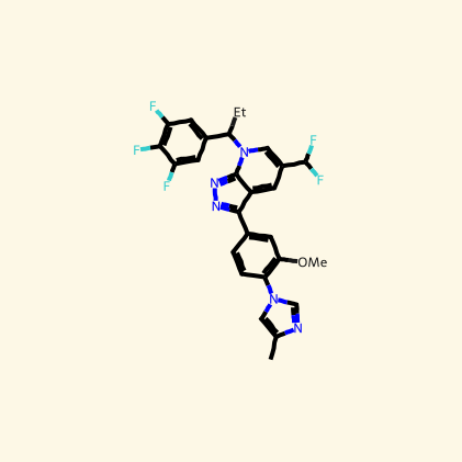 CCC(c1cc(F)c(F)c(F)c1)n1cc(C(F)F)cc2c(-c3ccc(-n4cnc(C)c4)c(OC)c3)nnc1-2